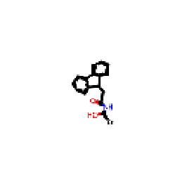 CCC(O)NC(=O)CC1c2ccccc2-c2ccccc21